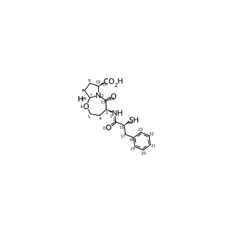 O=C(N[C@H]1CCO[C@H]2CC[C@@H](C(=O)O)N2C1=O)[C@@H](S)Cc1ccccc1